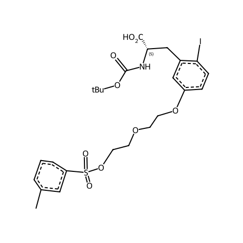 Cc1cccc(S(=O)(=O)OCCOCCOc2ccc(I)c(C[C@H](NC(=O)OC(C)(C)C)C(=O)O)c2)c1